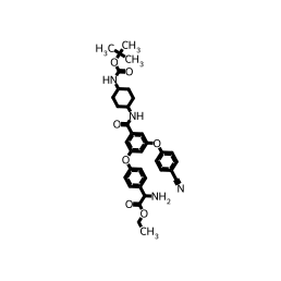 CCOC(=O)C(N)c1ccc(Oc2cc(Oc3ccc(C#N)cc3)cc(C(=O)NC3CCC(NC(=O)OC(C)(C)C)CC3)c2)cc1